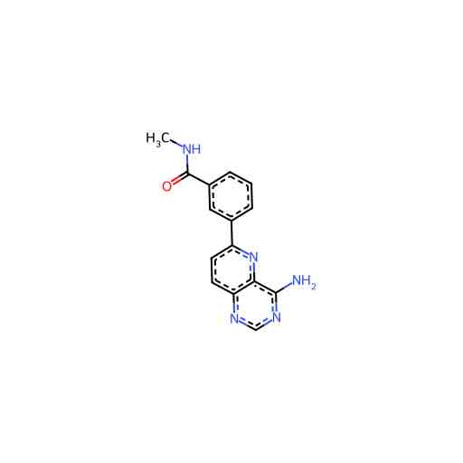 CNC(=O)c1cccc(-c2ccc3ncnc(N)c3n2)c1